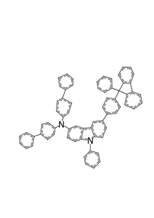 c1ccc(-c2ccc(N(c3ccc(-c4ccccc4)cc3)c3ccc4c(c3)c3cc(-c5ccc(C6(c7ccccc7)c7ccccc7-c7ccccc76)cc5)ccc3n4-c3ccccc3)cc2)cc1